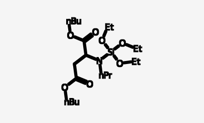 CCCCOC(=O)CC(C(=O)OCCCC)N(CCC)[Si](OCC)(OCC)OCC